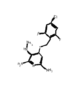 NNc1c(SCc2c(F)cc(Cl)cc2F)cc(N)nc1N